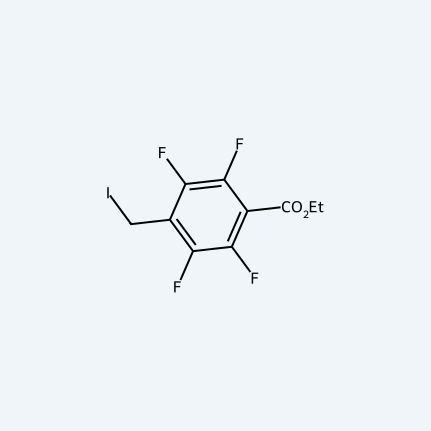 CCOC(=O)c1c(F)c(F)c(CI)c(F)c1F